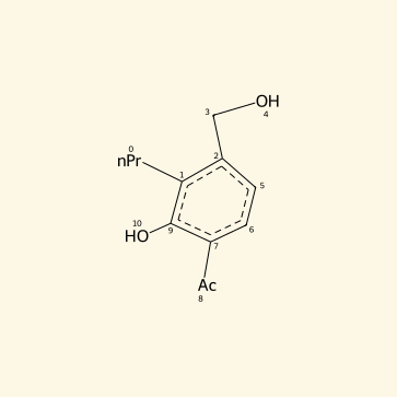 CCCc1c(CO)ccc(C(C)=O)c1O